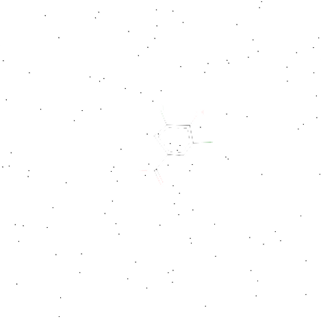 Br.O=C(O)c1cc(Cl)c(O)c(Cl)c1